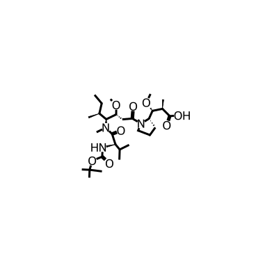 CC[C@H](C)[C@@H]([C@@H](CC(=O)N1CCC[C@H]1[C@H](OC)[C@@H](C)C(=O)O)OC)N(C)C(=O)[C@H](NC(=O)OC(C)(C)C)C(C)C